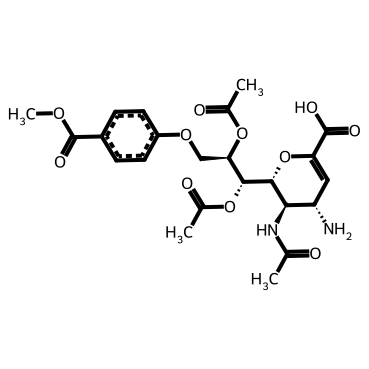 COC(=O)c1ccc(OC[C@@H](OC(C)=O)[C@@H](OC(C)=O)[C@@H]2OC(C(=O)O)=C[C@H](N)[C@H]2NC(C)=O)cc1